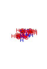 CC(=O)N[C@H]1C(O)[C@@H](O)C(CO)O[C@H]1OCCCCCC(=O)NCCCCC(NC(=O)C(CCCCNC(=O)CCCO[C@@H]1OC(CO)[C@H](O)C(O)[C@@H]1NC(C)=O)NC(=O)CCCCCO[C@@H]1OC(CO)[C@H](O)C(O)[C@@H]1NC(C)=O)C(C)=O